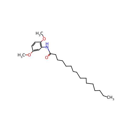 CCCCCCCCCCCCCCCC(=O)Nc1cc(OC)ccc1OC